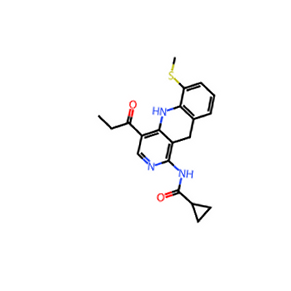 CCC(=O)c1cnc(NC(=O)C2CC2)c2c1Nc1c(cccc1SC)C2